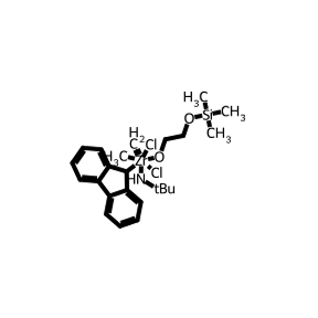 [CH2]=[Zr]([CH3])([Cl])([Cl])([NH]C(C)(C)C)([O]CCO[Si](C)(C)C)[CH]1c2ccccc2-c2ccccc21